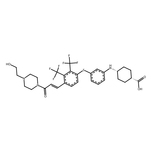 O=C(/C=C/c1ccc(Sc2cccc(N[C@H]3CC[C@@H](C(=O)O)CC3)c2)c(C(F)(F)F)c1C(F)(F)F)N1CCN(CCO)CC1